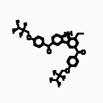 CCc1cc(C(=O)c2ccc(OCC(F)(F)C(F)F)cc2)cc2c1[nH]c1ccc(C(=O)c3ccc(OCC(F)(F)C(F)F)cc3)cc12